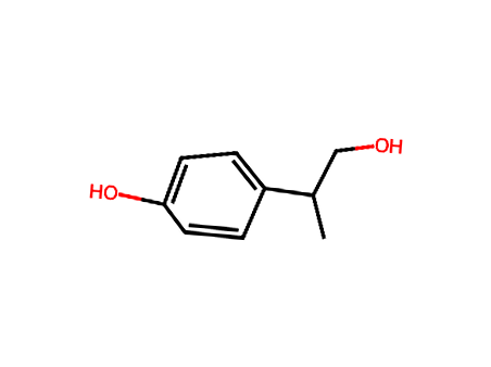 CC(CO)c1ccc(O)cc1